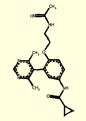 CC(=N)NCCOc1ccc(NC(=O)C2CC2)cc1-c1c(C)ncnc1C